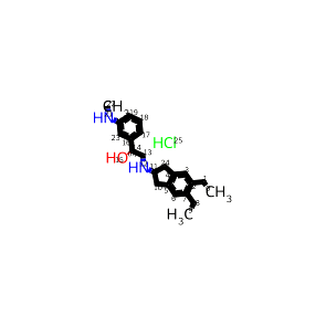 CCc1cc2c(cc1CC)CC(NC[C@H](O)c1cc[c]c(NC)c1)C2.Cl